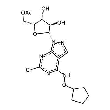 CC(=O)OC[C@H]1O[C@@H](n2ncc3c(NOC4CCCC4)nc(Cl)nc32)[C@H](O)[C@H]1O